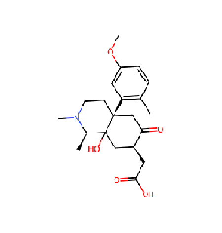 COc1ccc(C)c([C@]23CCN(C)[C@H](C)C2(O)C[C@H](CC(=O)O)C(=O)C3)c1